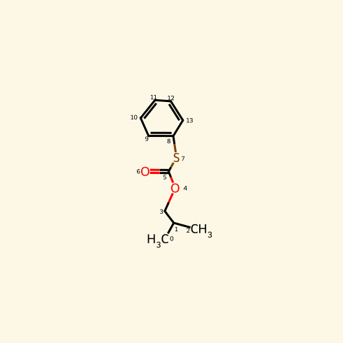 CC(C)COC(=O)Sc1ccccc1